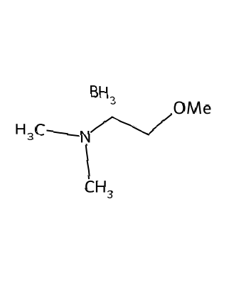 B.COCCN(C)C